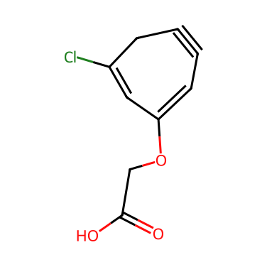 O=C(O)COC1=CC#CCC(Cl)=C1